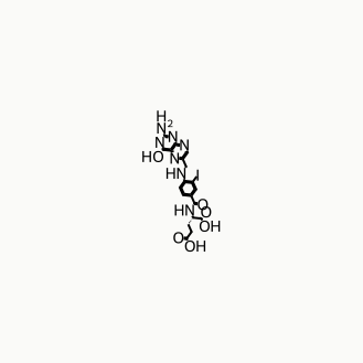 Nc1nc(O)c2nc(CNc3ccc(C(=O)N[C@@H](CCC(=O)O)C(=O)O)cc3I)cnc2n1